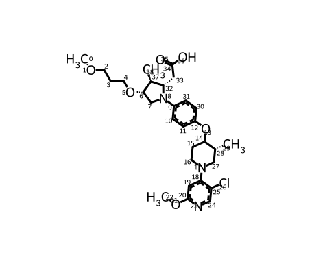 COCCCO[C@H]1CN(c2ccc(OC3CCN(c4cc(OC)ncc4Cl)C[C@H]3C)cc2)[C@@H](CC(=O)O)[C@@H]1C